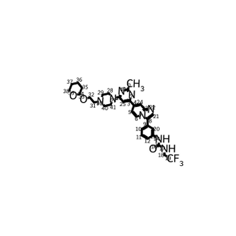 Cc1nc(-c2ccn3c(-c4cccc(NC(=O)NCC(F)(F)F)c4)cnc3c2)cc(N2CCN(CCOC3CCCCO3)CC2)n1